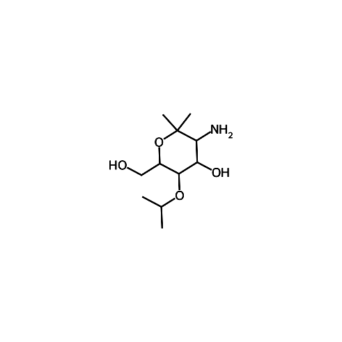 CC(C)OC1C(CO)OC(C)(C)C(N)C1O